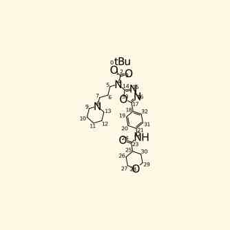 CC(C)(C)OC(=O)N(CCCN1CCCCC1)c1nnc(-c2ccc(NC(=O)C3CCOCC3)cc2)o1